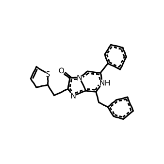 O=c1c(CC2CC=CS2)nc2c(Cc3ccccc3)[nH]c(-c3ccccc3)cn1-2